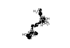 C#Cc1c(F)ccc2cc(O)cc(-c3ncc4c(N5CC6CCC(C5)N6)nc(OC[C@@H]5CCCN5CC5CCN(CCC(=O)N[C@H](C(=O)N6C[C@H](O)C[C@H]6C(=O)NCc6ccc(-c7scnc7C)cc6)C(C)(C)C)CC5)nc4c3F)c12